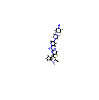 C=C(c1sc2cnc(Nc3ccc(N4CCN(C5CCNCC5)CC4)cn3)nc2c1C1CCCC1)N(C)C